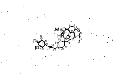 COc1ccc2ncc(CF)c(CCCC3(C(=O)NO)CCN(CC#Cc4cc(F)c(F)c(F)c4)CC3)c2c1